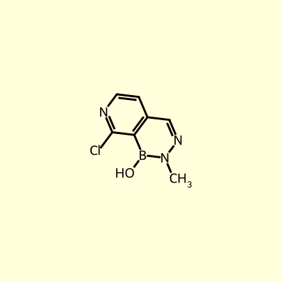 CN1N=Cc2ccnc(Cl)c2B1O